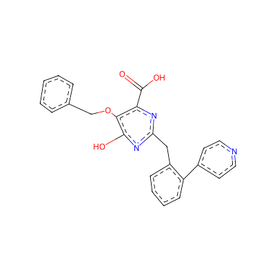 O=C(O)c1nc(Cc2ccccc2-c2ccncc2)nc(O)c1OCc1ccccc1